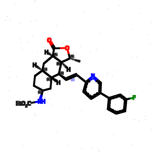 CCOC(=O)N[C@H]1CC[C@H]2C[C@H]3C(=O)O[C@H](C)[C@H]3[C@@H](/C=C/c3ccc(-c4cccc(F)c4)cn3)[C@@H]2C1